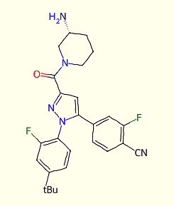 CC(C)(C)c1ccc(-n2nc(C(=O)N3CCC[C@@H](N)C3)cc2-c2ccc(C#N)c(F)c2)c(F)c1